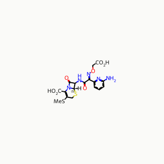 CSC1=C(C(=O)O)N2C(=O)C(NC(=O)C(=NOCC(=O)O)c3cccc(N)n3)[C@@H]2SC1